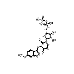 COc1ccc2c(Cn3c(=O)ccn([C@@H]4O[C@H](COP(=O)(O)OP(=O)(O)O)C(O)[C@@H]4O)c3=O)noc2c1